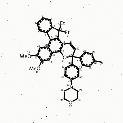 CCC1(CC)c2ccccc2-c2c1c1c(c3cc(OC)c(OC)cc23)OC(c2ccc(C)cc2)(c2ccc(N3CCOCC3)cc2)C=C1